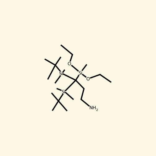 CCO[Si](C)(OCC)C(CCN)([Si](C)(C)C(C)(C)C)[Si](C)(C)C(C)(C)C